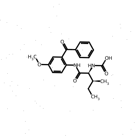 CC[C@H](C)[C@H](NC(=O)O)C(=O)Nc1ccc(OC)cc1C(=O)c1ccccc1